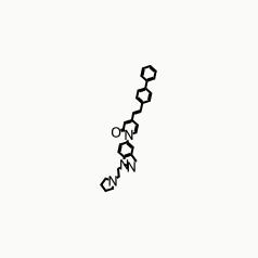 O=c1cc(/C=C/c2ccc(-c3ccccc3)cc2)ccn1-c1ccc2c(cnn2CCN2CCCC2)c1